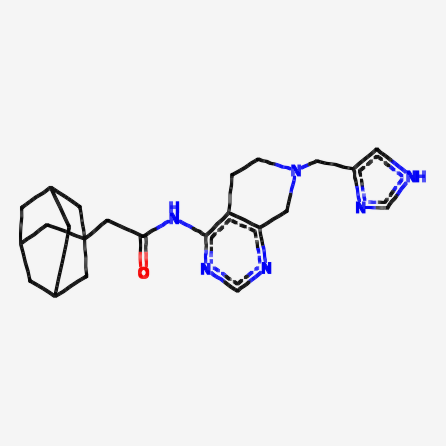 O=C(CC12CC3CC(CC(C3)C1)C2)Nc1ncnc2c1CCN(Cc1c[nH]cn1)C2